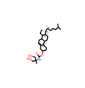 CC(C)CCC[C@@H](C)[C@H]1CCC2C3CC=C4CC(OC(=O)NC(C)(CO)CO)CC[C@]4(C)C3CC[C@@]21C